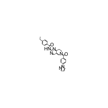 CCc1ccc(C(=O)NC2N=CC3=CN(C(=O)c4ccc(-n5cccn5)cc4)CCC3=N2)cc1